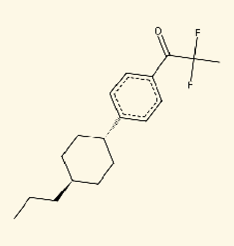 CCC[C@H]1CC[C@H](c2ccc(C(=O)C(C)(F)F)cc2)CC1